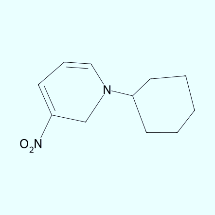 O=[N+]([O-])C1=CC=CN(C2CCCCC2)C1